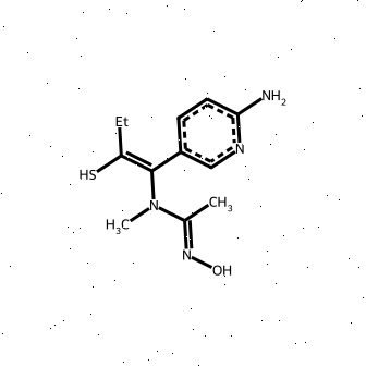 CC/C(S)=C(\c1ccc(N)nc1)N(C)/C(C)=N/O